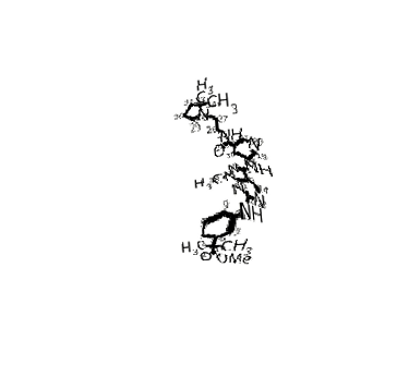 COC(=O)C(C)(C)c1cccc(Nc2ncc3c(Nc4cncc(C(=O)NCCN5CCCC5(C)C)c4)nn(C)c3n2)c1